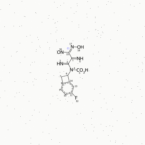 N=C(C(=N)N(C(=O)O)C1Cc2ccc(F)cc21)/C(N=O)=N\O